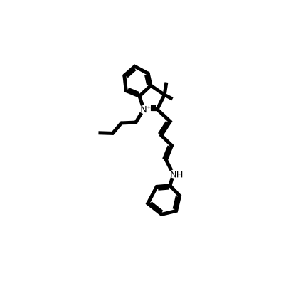 CCCC[N+]1=C(/C=C/C=C/Nc2ccccc2)C(C)(C)c2ccccc21